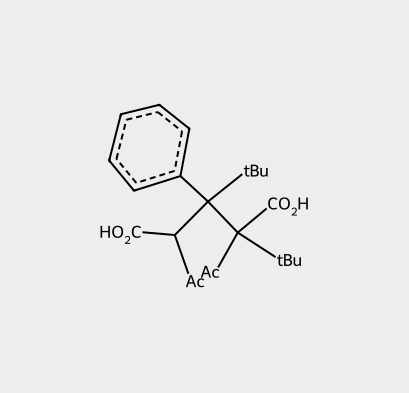 CC(=O)C(C(=O)O)C(c1ccccc1)(C(C)(C)C)C(C(C)=O)(C(=O)O)C(C)(C)C